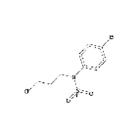 O=[SH](=O)N(CCCCl)c1ccc(Br)cc1